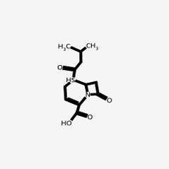 CC(C)CC(=O)[SH]1CC=C(C(=O)O)N2C(=O)CC21